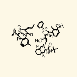 CCCC1C(=O)N2C(N(C)C)=Nc3ccc(C)cc3N2C1=O.Cc1c(O)cccc1C(=O)N[C@@H](CSc1ccccc1)[C@H](O)CN1C[C@H]2CCCC[C@H]2C[C@H]1C(=O)NC(C)(C)C